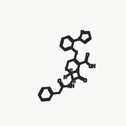 O=C(Cc1ccccc1)N[C@@H]1C(=O)N2C(C(=O)O)=C(Sc3ccccc3-n3cccn3)CS[C@@H]12